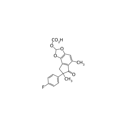 Cc1cc2c(c3c1C(=O)C(C)(c1ccc(F)cc1)C3)OC(OC(=O)O)O2